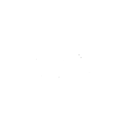 CCNC1CC=CC1